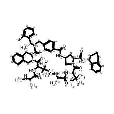 CN[C@@H](C)C(=O)NC(C(=O)N1Cc2ccccc2C[C@H]1C(=O)N(Cc1ccc(C(=O)N[C@H]2C[C@@H](C(=O)N[C@@H]3CCCc4ccccc43)N(C(=O)[C@@H](NC(=O)[C@H](C)NC)C(C)(C)C)C2)cc1)[C@H](C)c1ccccc1F)C(C)(C)C